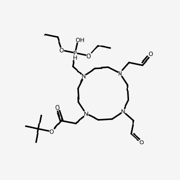 CCO[PH](O)(CN1CCN(CC=O)CCN(CC=O)CCN(CC(=O)OC(C)(C)C)CC1)OCC